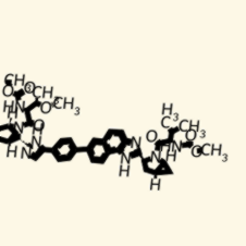 COC(=O)N[C@H](C(=O)N1[C@@H]2C[C@@H]2C[C@H]1c1nc2ccc3cc(-c4ccc(-c5cnc([C@@H]6[C@H]7CC[C@H](C7)N6C(=O)[C@@H](NC(=O)OC)[C@@H](C)OC)[nH]5)cc4)ccc3c2[nH]1)C(C)C